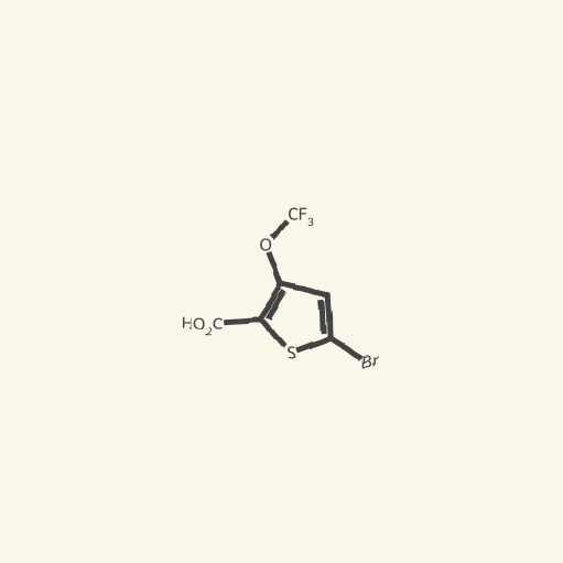 O=C(O)c1sc(Br)cc1OC(F)(F)F